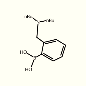 CCCCN(CCCC)Cc1ccccc1B(O)O